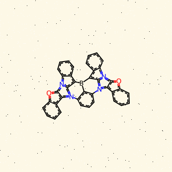 c1cc2c3c(c1)-n1c4c5ccccc5oc4n4c5ccccc5c(c14)B3c1c3ccccc3n3c4oc5ccccc5c4n-2c13